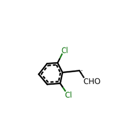 O=C[CH]c1c(Cl)cccc1Cl